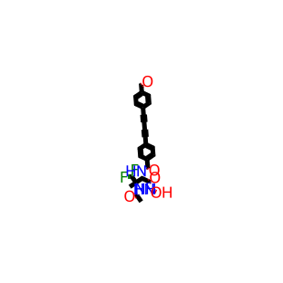 CC(=O)NC(C)(C(F)F)[C@H](NC(=O)c1ccc(C#CC#Cc2ccc(C=O)cc2)cc1)C(=O)NO